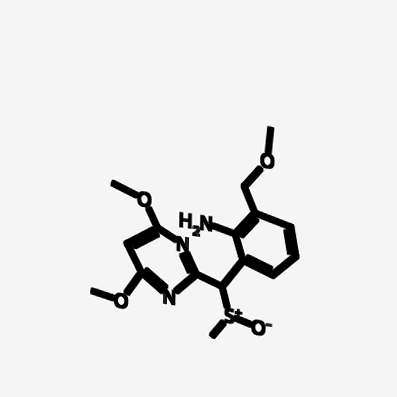 COCc1cccc(C(c2nc(OC)cc(OC)n2)[S+](C)[O-])c1N